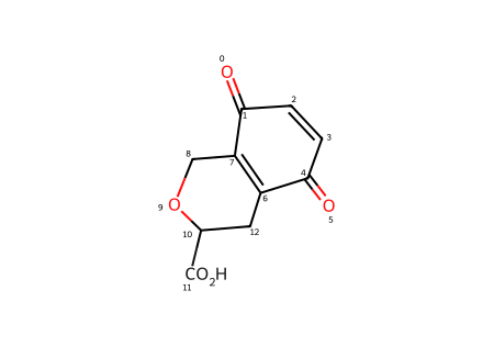 O=C1C=CC(=O)C2=C1COC(C(=O)O)C2